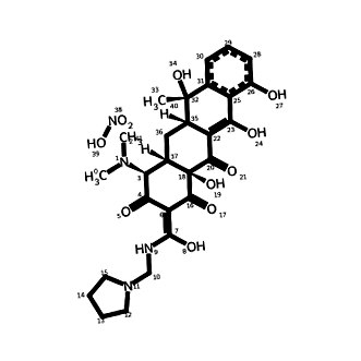 CN(C)[C@@H]1C(=O)/C(=C(/O)NCN2CCCC2)C(=O)[C@@]2(O)C(=O)C3=C(O)c4c(O)cccc4[C@@](C)(O)[C@H]3C[C@@H]12.O=[N+]([O-])O